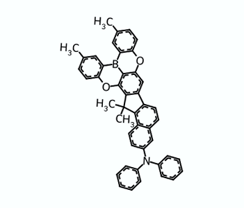 Cc1ccc2c(c1)B1c3cc(C)ccc3Oc3c1c(cc1c3C(C)(C)c3c-1ccc1cc(N(c4ccccc4)c4ccccc4)ccc31)O2